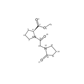 COC(=O)[C@@H]1CCCN1C(=O)CN1CCCC1=O